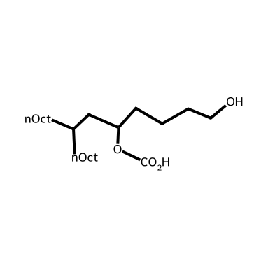 CCCCCCCCC(CCCCCCCC)CC(CCCCO)OC(=O)O